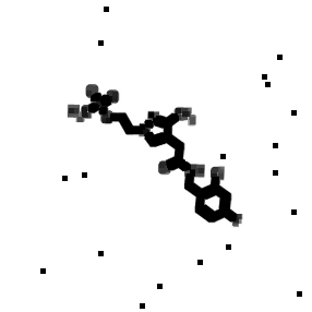 CS(=O)(=O)OCCn1cc(CC(=O)NCc2ccc(F)cc2Cl)c(C(F)(F)F)n1